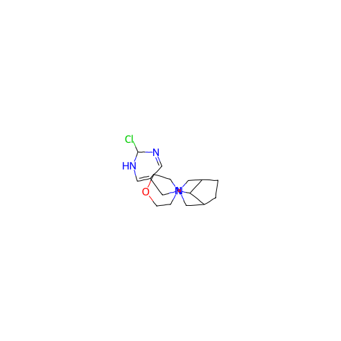 ClC1N=CC(CN2CC3CCC(C2)C3N2CCOCC2)=CN1